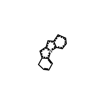 C1=CCc2cc3cc4ccccc4n3c2=C1